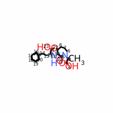 C[C@@H](C(=O)O)N1CCCC[C@H](N[C@@H](CCc2ccccc2)C(=O)O)C1=O